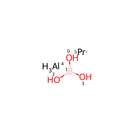 OB(O)O.[AlH3].[Pr]